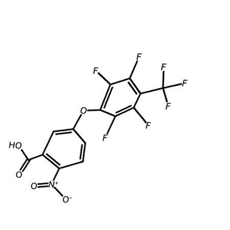 O=C(O)c1cc(Oc2c(F)c(F)c(C(F)(F)F)c(F)c2F)ccc1[N+](=O)[O-]